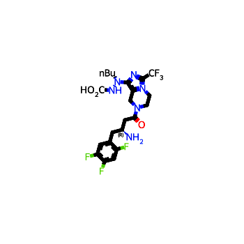 CCCCN(NC(=O)O)c1nc(C(F)(F)F)n2c1CN(C(=O)C[C@H](N)Cc1cc(F)c(F)cc1F)CC2